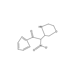 O=C(c1ccccc1)C(C1COCCN1)[N+](=O)[O-]